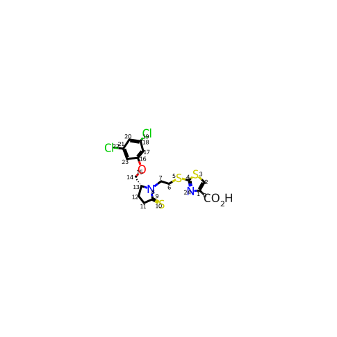 O=C(O)c1csc(SCCN2C(=S)CC[C@@H]2COc2cc(Cl)cc(Cl)c2)n1